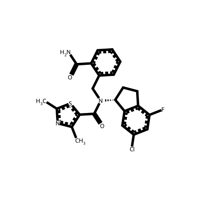 Cc1nc(C)c(C(=O)N(Cc2ccccc2C(N)=O)[C@@H]2CCc3c(F)cc(Cl)cc32)s1